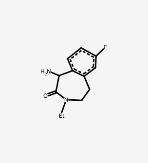 CCN1CCc2cc(F)ccc2C(N)C1=O